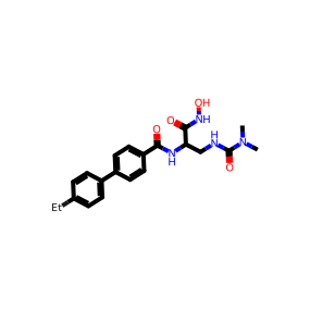 CCc1ccc(-c2ccc(C(=O)NC(CNC(=O)N(C)C)C(=O)NO)cc2)cc1